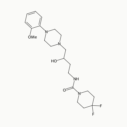 COc1ccccc1N1CCN(CC(O)CCNC(=O)N2CCC(F)(F)CC2)CC1